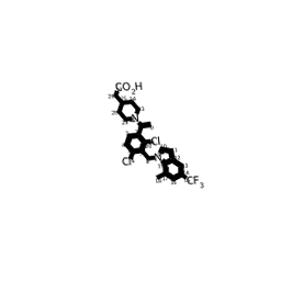 C=C(c1ccc(Cl)c(Cn2ccc3cc(C(F)(F)F)cc(C)c32)c1Cl)N1CCC(CC(=O)O)CC1